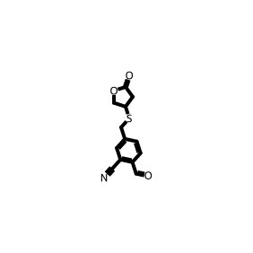 N#Cc1cc(CSC2COC(=O)C2)ccc1C=O